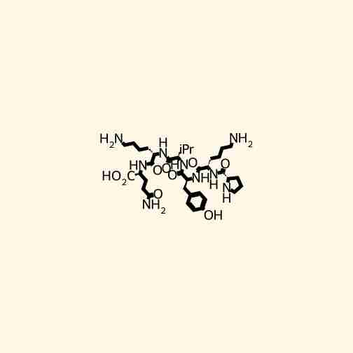 CC(C)[C@H](NC(=O)[C@H](Cc1ccc(O)cc1)NC(=O)[C@H](CCCCN)NC(=O)[C@@H]1CCCN1)C(=O)N[C@@H](CCCCN)C(=O)N[C@@H](CCC(N)=O)C(=O)O